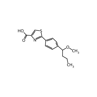 CCCC(OC)c1ccc(-c2nc(C(=O)O)cs2)cc1